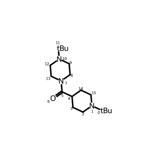 CC(C)(C)N1CCC(C(=O)N2CCN(C(C)(C)C)CC2)CC1